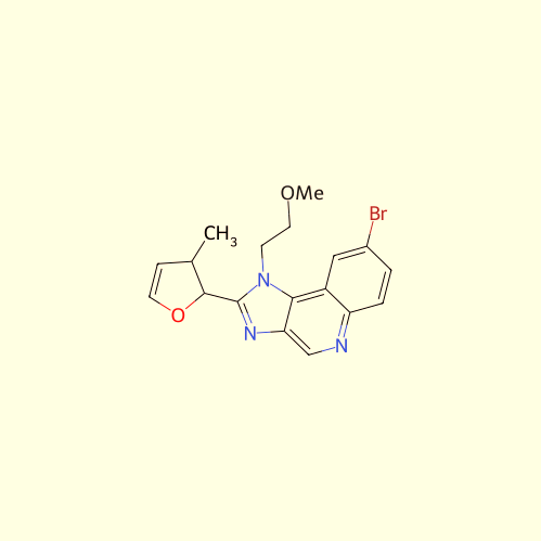 COCCn1c(C2OC=CC2C)nc2cnc3ccc(Br)cc3c21